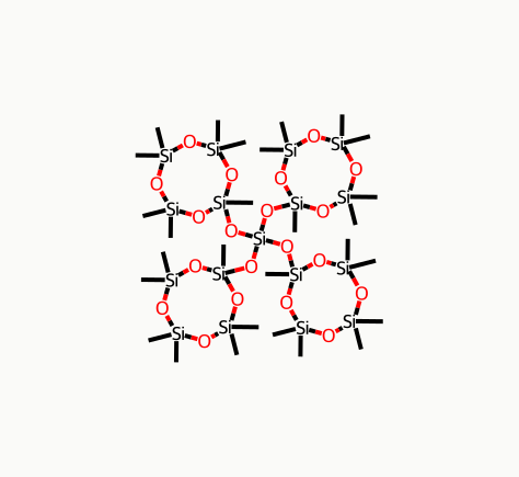 C[Si]1(C)O[Si](C)(C)O[Si](C)(O[Si](O[Si]2(C)O[Si](C)(C)O[Si](C)(C)O[Si](C)(C)O2)(O[Si]2(C)O[Si](C)(C)O[Si](C)(C)O[Si](C)(C)O2)O[Si]2(C)O[Si](C)(C)O[Si](C)(C)O[Si](C)(C)O2)O[Si](C)(C)O1